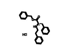 Cl.O=C(OCc1ccccc1)[C@H](Cc1ccccc1)NCCc1ccccc1